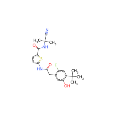 CC(C)(C#N)NC(=O)c1ccc(NC(=O)Cc2cc(O)c(C(C)(C)C)cc2F)s1